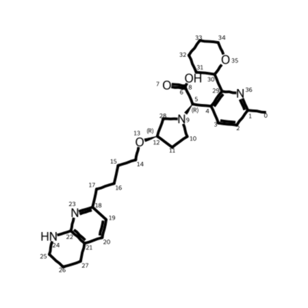 Cc1ccc([C@H](C(=O)O)N2CC[C@@H](OCCCCc3ccc4c(n3)NCCC4)C2)c(C2CCCCO2)n1